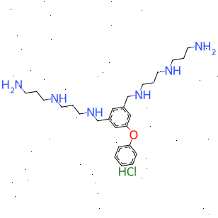 Cl.NCCCNCCCNCc1cc(CNCCCNCCCN)cc(Oc2ccccc2)c1